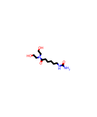 NC(=O)NCCCCCC(=O)N(CCO)CCO